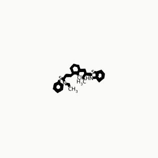 CCC(C=C1CCCC(C=CC2Sc3ccccc3N2CC)=C1Cl)=C1Nc2ccccc2S1